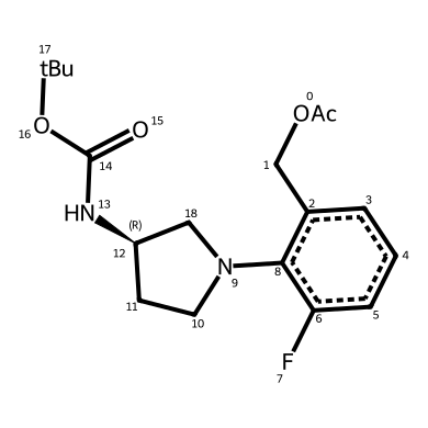 CC(=O)OCc1cccc(F)c1N1CC[C@@H](NC(=O)OC(C)(C)C)C1